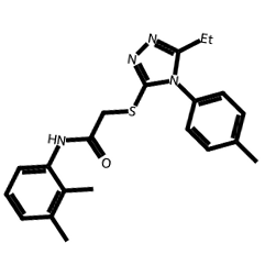 CCc1nnc(SCC(=O)Nc2cccc(C)c2C)n1-c1ccc(C)cc1